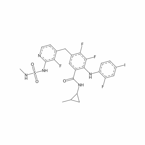 CNS(=O)(=O)Nc1nccc(Cc2cc(C(=O)NC3CC3C)c(Nc3ccc(I)cc3F)c(F)c2F)c1F